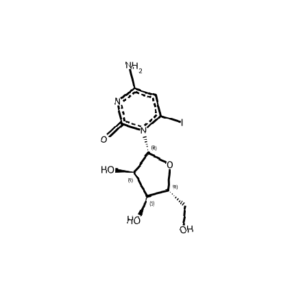 Nc1cc(I)n([C@@H]2O[C@H](CO)[C@@H](O)[C@H]2O)c(=O)n1